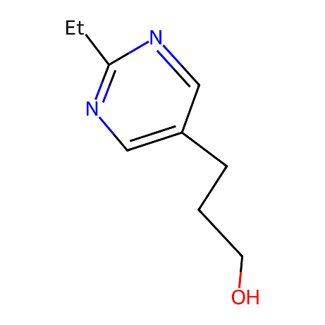 CCc1ncc(CCCO)cn1